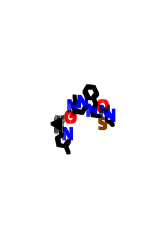 Cc1ccc([C@H]2C[C@@H]2COc2cc(N(Cc3nnc(C)s3)C(=O)c3ccccc3)nc(C)n2)nc1